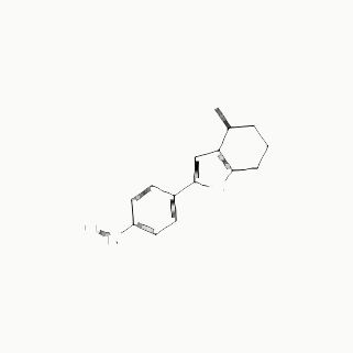 C=C1CCCc2oc(-c3ccc(N=O)cc3)cc21